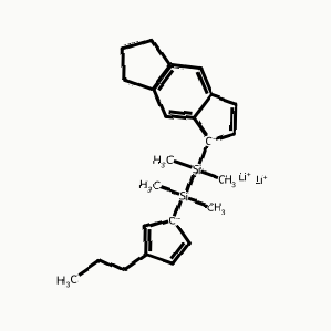 CCCc1cc[c-]([Si](C)(C)[Si](C)(C)[c-]2ccc3cc4c(cc32)CCC4)c1.[Li+].[Li+]